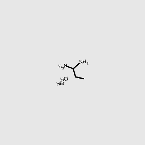 Br.CCC(N)N.Cl